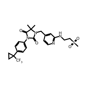 CC1(C)C(=O)N(c2ccc(C3(C(F)(F)F)CC3)cc2)C(=O)N1Cc1ccnc(NCCS(C)(=O)=O)c1